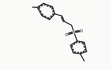 Cc1ccc(C=CCS(=O)(=O)c2ccc(C)cc2)cc1